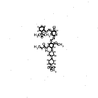 C=CC(=O)Nc1cc(N=Nc2ncc(Cl)c(N=Nc3ccccc3P(C)(C)=O)n2)c(OC)cc1N1CCN(C2CCN(S(C)(=O)=O)CC2)CC1